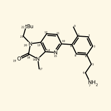 Cc1ccc(CCN)cc1-c1ccc2c(n1)n(C)c(=O)n2CC(C)(C)C